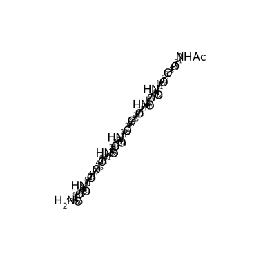 CC(=O)NCCOCCOCCOCCNC(=O)COCC(=O)NCCOCCOCCOCCNC(=O)COCC(=O)NCCOCCOCCOCCNC(=O)COCC(N)=O